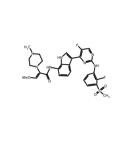 CO/C=C(/C(=O)Nc1cccc2c(-c3nc(Nc4cccc(S(C)(=O)=O)c4F)ncc3F)c[nH]c12)N1CCN(C)CC1